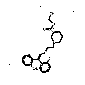 CCOC(=O)[C@@H]1CCCN(CCOC=C(c2ccccc2C)c2ccccc2Cl)C1